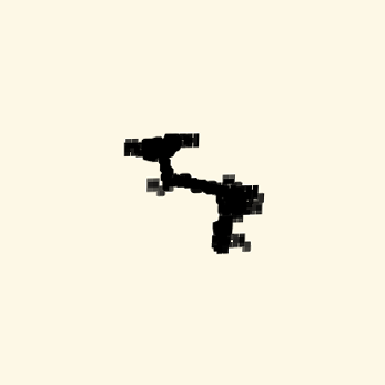 Cc1ncsc1-c1ccc(CNC(=O)[C@@H]2C[C@@H](O)CN2C(=O)C(NC(=O)CCOCCOCCOCCN(C)CCCCC[C@@H]2Cc3cc(O)ccc3C3CC[C@]4(C)[C@@H](O)CC[C@H]4C32)C(C)(C)C)cc1